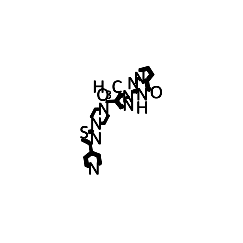 Cc1c(C(=O)N2CCN(c3nc(-c4ccncc4)cs3)CC2)cnn1-c1nn2cccc2c(=O)[nH]1